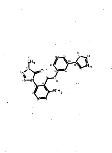 Cc1cccc(-n2nnn(C)c2=O)c1COc1cccc(-c2cncs2)c1